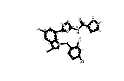 Cc1cn(Cc2ccc(Cl)cc2Cl)c2c(-c3nnc(NC(=O)c4ccno4)o3)cc(F)cc12